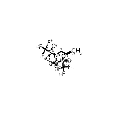 C=CCN(S(=O)(=O)C(F)(F)F)S(=O)(=O)S(=O)(=O)C(F)(F)F